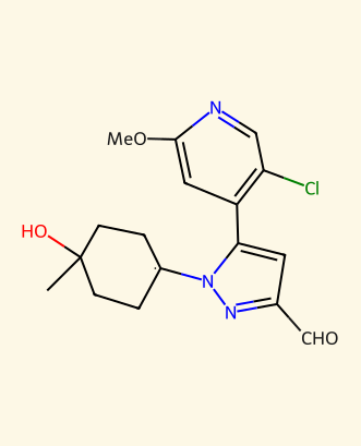 COc1cc(-c2cc(C=O)nn2[C]2CCC(C)(O)CC2)c(Cl)cn1